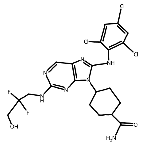 NC(=O)C1CCC(n2c(Nc3c(Cl)cc(Cl)cc3Cl)nc3cnc(NCC(F)(F)CO)nc32)CC1